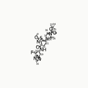 COc1nc2c(C(=O)Nc3cc(F)c4nc(C)nn4c3)ccc(N3C[C@H](C)N(C(=O)OC(C)(C)C)[C@@H](C)C3)c2s1